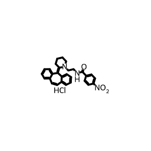 Cl.O=C(NCCN1CCCCC1=C1c2ccccc2C=Cc2ccccc21)c1ccc([N+](=O)[O-])cc1